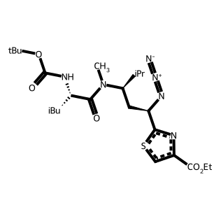 CCOC(=O)c1csc([C@@H](C[C@H](C(C)C)N(C)C(=O)[C@@H](NC(=O)OC(C)(C)C)[C@@H](C)CC)N=[N+]=[N-])n1